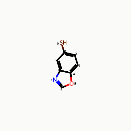 Sc1ccc2ocnc2c1